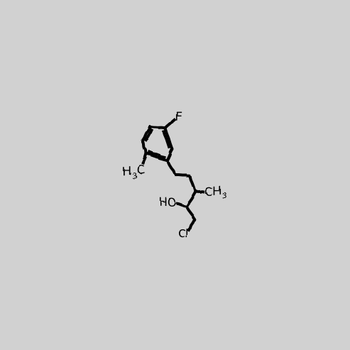 Cc1ccc(F)cc1CCC(C)C(O)CCl